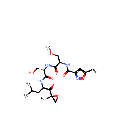 COCC(NC(=O)c1cc(C)on1)C(=O)N[C@@H](CO)C(=O)NC(CC(C)C)C(=O)C1(C)CO1